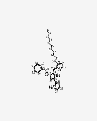 CCCCCCCCCCCC1=CC=N/C1=C\c1[nH]c(-c2ccc[nH]2)cc1OCc1ccccc1